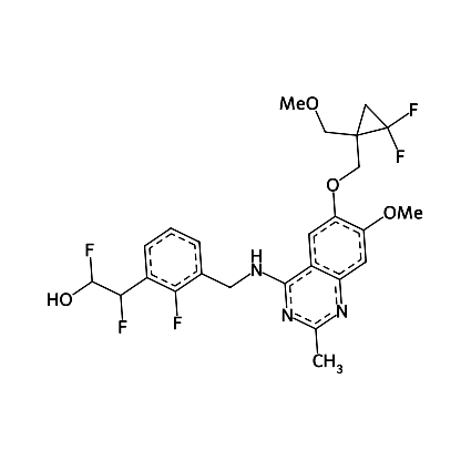 COCC1(COc2cc3c(NCc4cccc(C(F)C(O)F)c4F)nc(C)nc3cc2OC)CC1(F)F